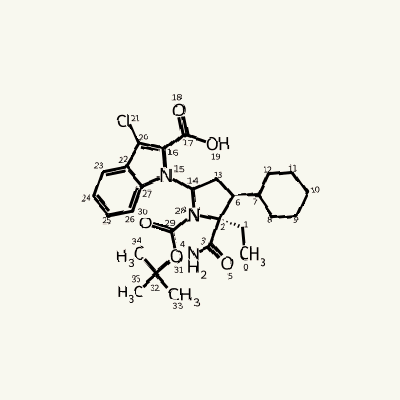 CC[C@@]1(C(N)=O)[C@H](C2CCCCC2)CC(n2c(C(=O)O)c(Cl)c3ccccc32)N1C(=O)OC(C)(C)C